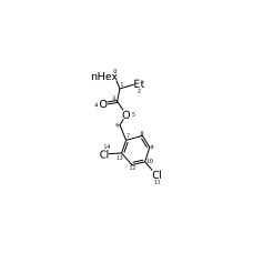 CCCCCCC(CC)C(=O)OCc1ccc(Cl)cc1Cl